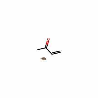 Br.C=CC(C)=O